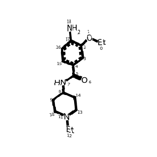 CCOc1cc(C(=O)NC2CCN(CC)CC2)ccc1N